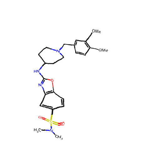 COc1ccc(CN2CCC(Nc3nc4cc(S(=O)(=O)N(C)C)ccc4o3)CC2)cc1OC